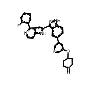 Fc1ccccc1-c1nccc2[nH]c(-c3n[nH]c4ccc(-c5cncc(OC6CCNCC6)c5)cc34)cc12